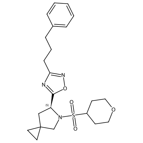 O=S(=O)(C1CCOCC1)N1CC2(CC2)C[C@H]1c1nc(CCCc2ccccc2)no1